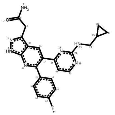 NC(=O)Cc1n[nH]c2nc(-c3ccc(F)cc3)c(-c3ccnc(NCC4CC4)n3)cc12